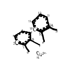 Cc1[c-]cccc1C.Cc1[c-]cccc1C.[Cu+2]